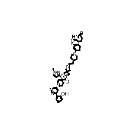 Cn1ccc(OC2(C(=O)N3CC4(CN(CCC5CCN(c6ccc([C@H]7CCC(=O)NC7=O)c(F)c6)CC5)C4)C3)CCN(c3cnnc(-c4ccccc4O)c3)CC2)n1